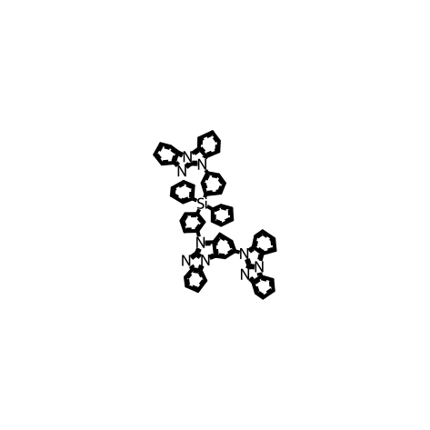 c1ccc([Si](c2ccccc2)(c2cccc(-n3c4ccccc4n4c5ccccc5nc34)c2)c2cccc(-n3c4ccc(-n5c6ccccc6n6c7ccccc7nc56)cc4n4c5ccccc5nc34)c2)cc1